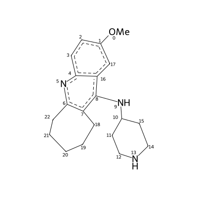 COc1ccc2nc3c(c(NC4CCNCC4)c2c1)CCCCC3